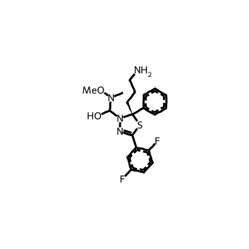 CON(C)C(O)N1N=C(c2cc(F)ccc2F)S[C@@]1(CCCN)c1ccccc1